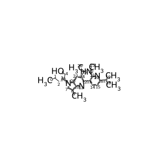 CCC[C@H](CO)n1cc(C)c2nc(-c3ccc(C(C)C)nc3NC)c(CC)cc21